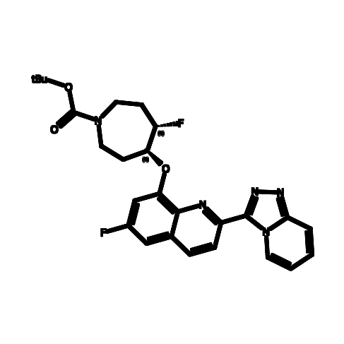 CC(C)(C)OC(=O)N1CC[C@H](Oc2cc(F)cc3ccc(-c4nnc5ccccn45)nc23)[C@@H](F)CC1